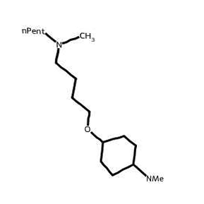 CCCCCN(C)CCCCOC1CCC(NC)CC1